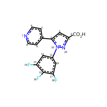 O=C(O)c1cc(-c2ccncc2)n(-c2cc(F)c(F)c(F)c2)n1